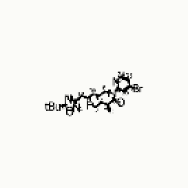 C=C(CCF)C(=O)N(CCCCCc1noc(C(C)(C)C)n1)c1cc(Br)ccn1